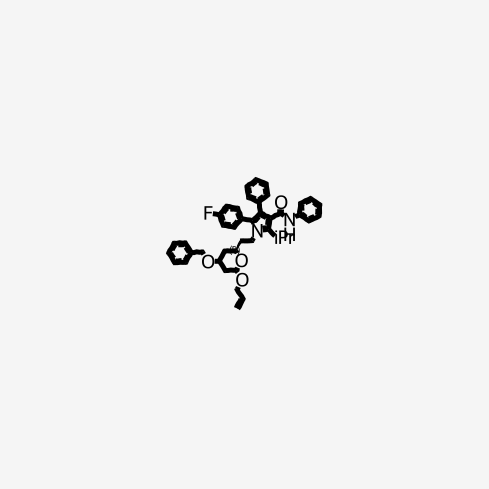 C=CCOC1CC(OCc2ccccc2)C[C@@H](CCn2c(-c3ccc(F)cc3)c(-c3ccccc3)c(C(=O)Nc3ccccc3)c2C(C)C)O1